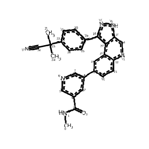 CNC(=O)c1cncc(-c2ccc3ncc4[nH]nc(-c5ccc(C(C)(C)C#N)cc5)c4c3c2)c1